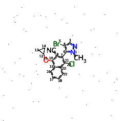 Cn1ncc(Br)c1-c1c(C#N)c(OC2CC2)c2ccccc2c1Cl